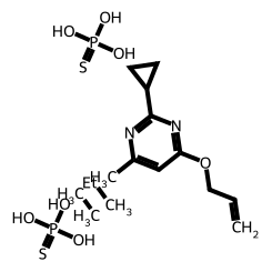 C=CCOc1cc(C)nc(C2CC2)n1.CC.CCC.OP(O)(O)=S.OP(O)(O)=S